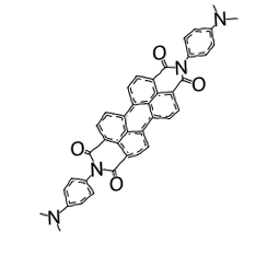 CN(C)c1ccc(N2C(=O)c3ccc4c5ccc6c7c(ccc(c8ccc(c3c48)C2=O)c75)C(=O)N(c2ccc(N(C)C)cc2)C6=O)cc1